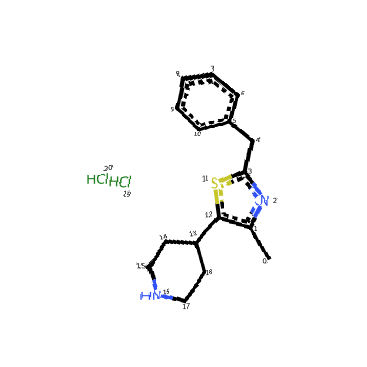 Cc1nc(Cc2ccccc2)sc1C1CCNCC1.Cl.Cl